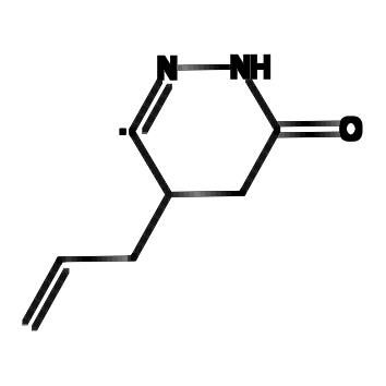 C=CCC1[C]=NNC(=O)C1